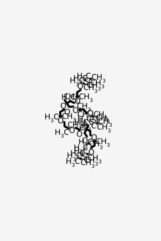 CCC(CCOC(C)C)(CCOC(C)(C)CCOC(C)(C)[Si](C)(C)C(C)(C)C)OC(=O)COC(C)(C)CCOC(C)(C)CC(=O)OC(CC)(CCOC(C)(C)CCOC(C)(C)[Si](C)(C)C(C)(C)C)CCOC(C)(C)CCOC(C)(C)[Si](C)(C)C(C)(C)C